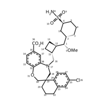 CO[C@@H]([C@H]1CCC[C@H](S(N)(=O)=O)C1)[C@@H]1CC[C@H]1CN1C[C@@]2(CCCc3cc(Cl)ccc32)COc2ccc(C(=O)O)cc21